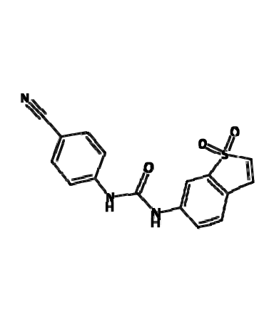 N#Cc1ccc(NC(=O)Nc2ccc3c(c2)S(=O)(=O)C=C3)cc1